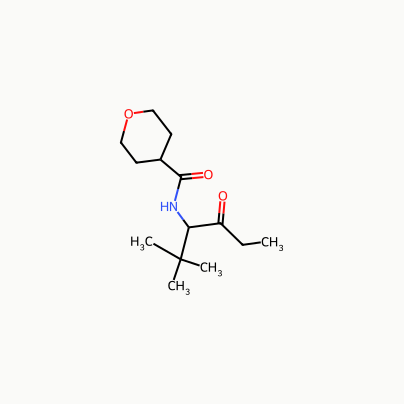 CCC(=O)C(NC(=O)C1CCOCC1)C(C)(C)C